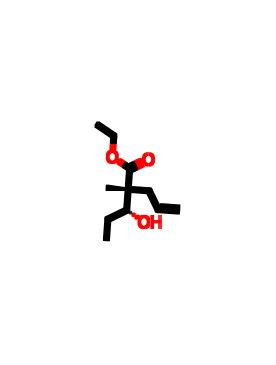 C=CC[C@@](C)(C(=O)OCC)[C@H](O)CC